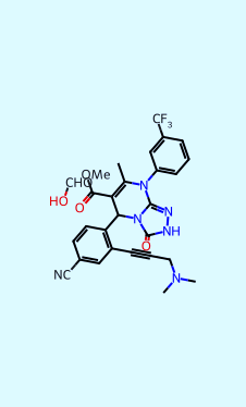 COC(=O)C1=C(C)N(c2cccc(C(F)(F)F)c2)c2n[nH]c(=O)n2C1c1ccc(C#N)cc1C#CCN(C)C.O=CO